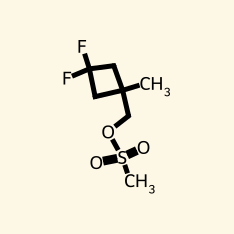 CC1(COS(C)(=O)=O)CC(F)(F)C1